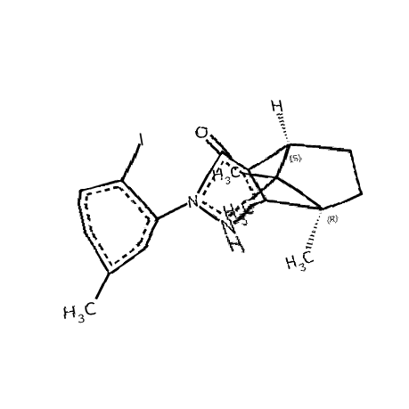 Cc1ccc(I)c(-n2[nH]c3c(c2=O)[C@H]2CC[C@]3(C)C2(C)C)c1